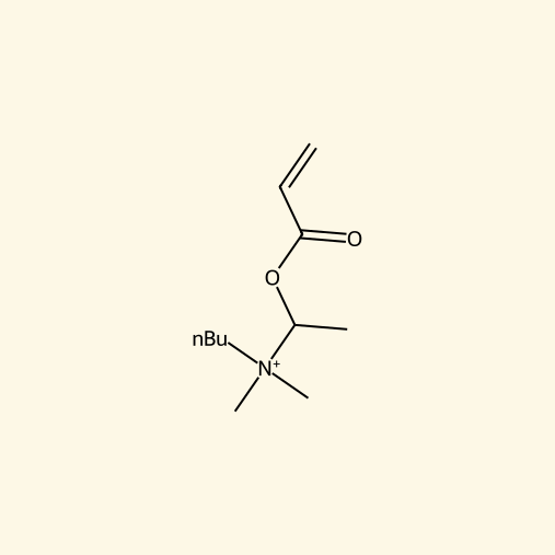 C=CC(=O)OC(C)[N+](C)(C)CCCC